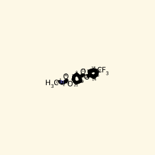 C/C=C/C(=O)OC1CCC(C(=O)Oc2ccc(C(F)(F)F)cc2)CC1